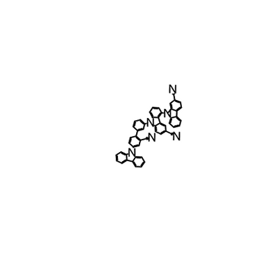 N#Cc1ccc2c(c1)c1c(-n3c4ccccc4c4ccc(C#N)cc43)cccc1n2-c1cccc(-c2ccc(-n3c4ccccc4c4ccccc43)cc2C#N)c1